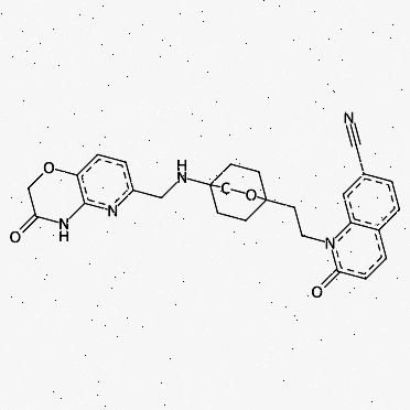 N#Cc1ccc2ccc(=O)n(CCC34CCC(NCc5ccc6c(n5)NC(=O)CO6)(CC3)CO4)c2c1